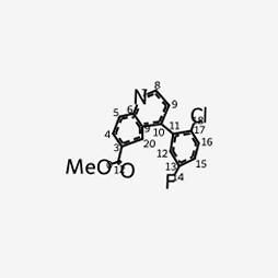 COC(=O)c1ccc2nccc(-c3cc(F)ccc3Cl)c2c1